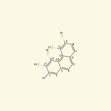 Cc1cc2ccc3ccc(F)c(F)c3c2c(F)c1F